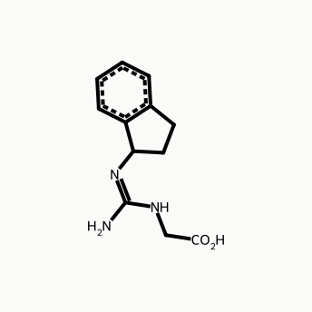 NC(=NC1CCc2ccccc21)NCC(=O)O